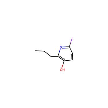 CCCc1nc(I)ccc1O